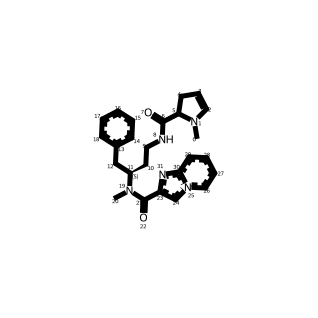 CN1C=CCC1C(=O)NCC[C@H](Cc1ccccc1)N(C)C(=O)c1cn2ccccc2n1